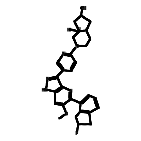 COc1cc2[nH]nc(-c3ccc(N4CCN5CC(O)C[C@H]5C4)nc3)c2nc1-c1cccc2c1CC(F)C2